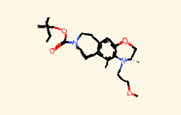 COCCN1c2c(cc3c(c2C)CCN(C(=O)OC(C)(C)C)CC3)OC[C@@H]1C